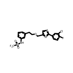 O=S(=O)(Nc1cccc(CCOCc2csc(-c3ccc(F)c(Cl)c3)n2)c1)C(F)(F)F